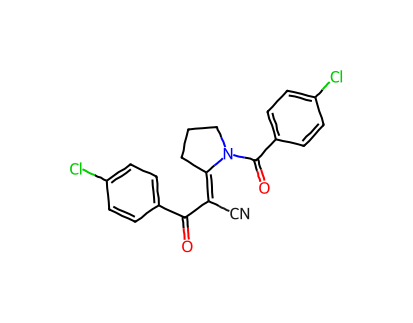 N#CC(C(=O)c1ccc(Cl)cc1)=C1CCCN1C(=O)c1ccc(Cl)cc1